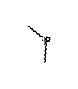 CCCCCCCCCCOc1c[c]ccc1OCCCCCCCCCC